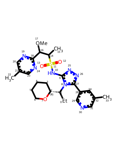 CCC([C@H]1CCCCO1)n1c(NS(=O)(=O)C(C)C(OC)c2ncc(C)cn2)nnc1-c1cncc(C)c1